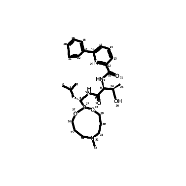 CC(C)C[C@H](NC(=O)[C@@H](NC(=O)c1cccc(-c2ccccc2)n1)[C@@H](C)O)B1OCCCN(C)CCCO1